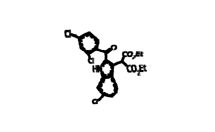 CCOC(=O)C(C(=O)OCC)c1c(C(=O)c2ccc(Cl)cc2Cl)[nH]c2cc(Cl)ccc12